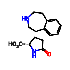 O=C1CC[C@@H](C(=O)O)N1.c1ccc2c(c1)CCNCC2